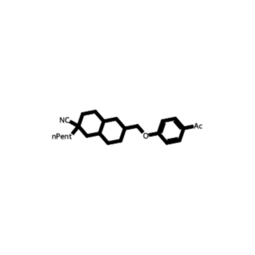 CCCCCC1(C#N)CCC2CC(COc3ccc(C(C)=O)cc3)CCC2C1